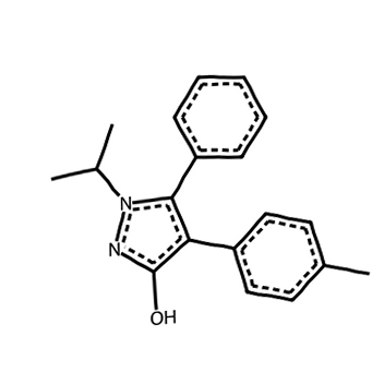 Cc1ccc(-c2c(O)nn(C(C)C)c2-c2ccccc2)cc1